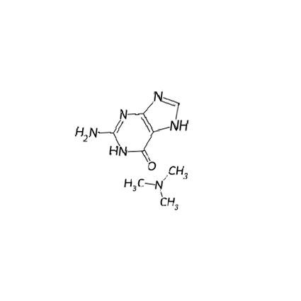 CN(C)C.Nc1nc2nc[nH]c2c(=O)[nH]1